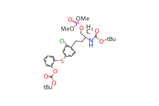 COP(=O)(OC)OC[C@](C)(CCc1ccc(Sc2ccccc2OC(=O)OC(C)(C)C)cc1Cl)NC(=O)OC(C)(C)C